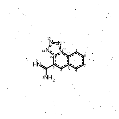 N=C(N)c1cc2ccccc2n2nnnc12